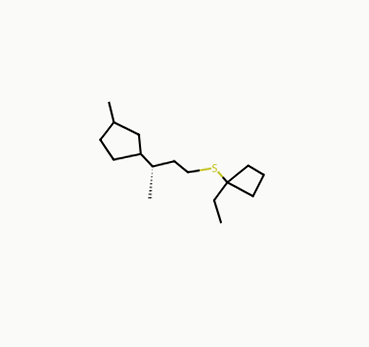 CCC1(SCC[C@H](C)C2CCC(C)C2)CCC1